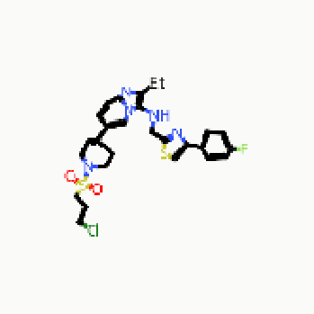 CCc1nc2ccc(C3=CCN(S(=O)(=O)CCCCl)CC3)cn2c1NCc1nc(-c2ccc(F)cc2)cs1